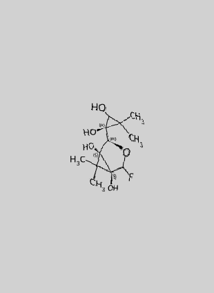 CC1(C)C(O)[C@@]1(O)[C@H]1OC(F)[C@]2(O)C(C)(C)[C@]12O